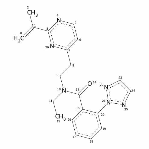 C=C(C)c1nccc(CCN(CC)C(=O)c2ccccc2-n2nccn2)n1